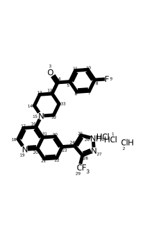 Cl.Cl.Cl.O=C(c1ccc(F)cc1)C1CCN(c2ccnc3ccc(-c4c[nH]nc4C(F)(F)F)cc23)CC1